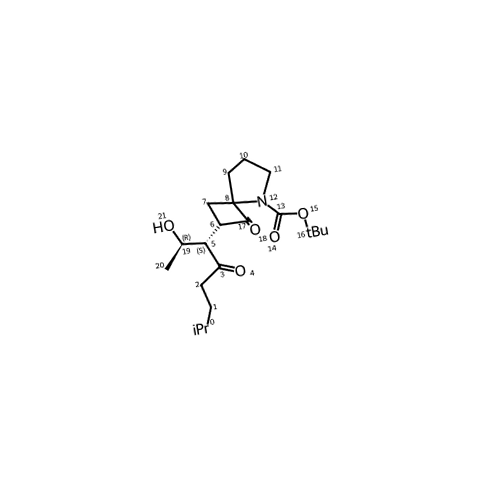 CC(C)CCC(=O)[C@@H](C1CC2(CCCN2C(=O)OC(C)(C)C)C1=O)[C@@H](C)O